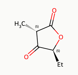 CC[C@@H]1OC(=O)[C@@H](C)C1=O